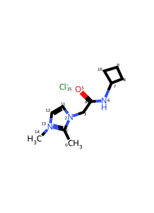 Cc1n(CC(=O)NC2CCC2)cc[n+]1C.[Cl-]